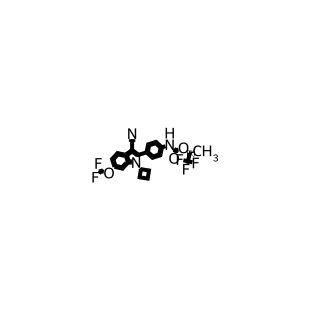 C[C@@H](OC(=O)Nc1ccc(-c2c(C#N)c3ccc(OC(F)F)cc3n2C2CCC2)cc1)C(F)(F)F